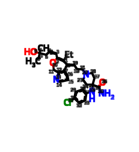 CCC1=C(/C=C\CC(C)(C)O)OCc2ncccc2/C1=C\CCN1CCC(Nc2ccc(Cl)cc2)(C(N)=O)CC1